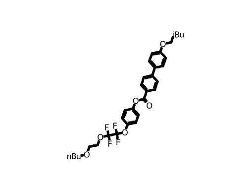 CCCCOCCOC(F)(F)C(F)(F)Oc1ccc(OC(=O)c2ccc(-c3ccc(OCC(C)CC)cc3)cc2)cc1